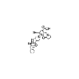 N#Cc1cc(C(=O)O)c(CN2CCCC2=O)nc1N1CCC(C(=O)NS(=O)(=O)CC2CCCCC2)CC1